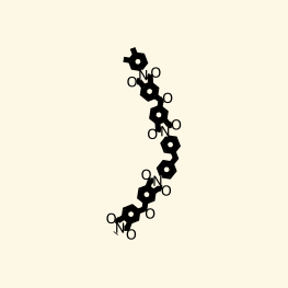 Cc1ccc(N2C(=O)c3ccc(C(=O)c4ccc5c(c4)C(=O)N(c4ccc(Cc6ccc(N7C(=O)c8ccc(C(=O)c9ccc%10c(c9)C(=O)N(C)C%10=O)cc8C7=O)cc6)cc4)C5=O)cc3C2=O)cc1C